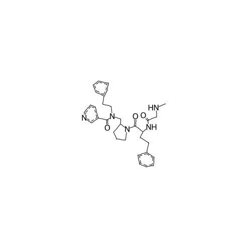 CNCC(=O)NC(CCc1ccccc1)C(=O)N1CCCC1CN(CCc1ccccc1)C(=O)c1cccnc1